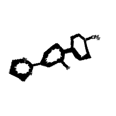 CN1CC=C(c2ccc(-c3ncccn3)cc2F)CC1